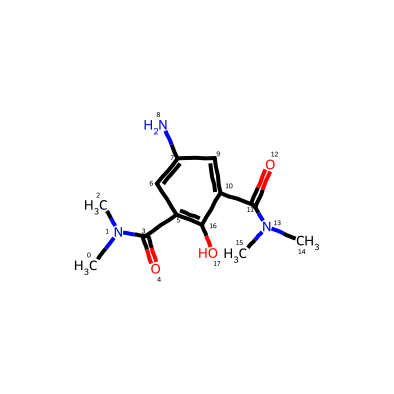 CN(C)C(=O)c1cc(N)cc(C(=O)N(C)C)c1O